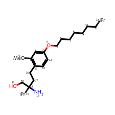 COc1cc(OCCCCCCCC(C)C)ccc1CCC(N)(CO)C(C)C